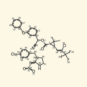 CC1(C)[C@H](C(=O)OC(C#N)c2cccc(Oc3ccccc3)c2)[C@@H]1/C=C(\Cl)C(F)(F)F.O=[N+]([O-])/N=C1\NCCN1Cc1ccc(Cl)nc1